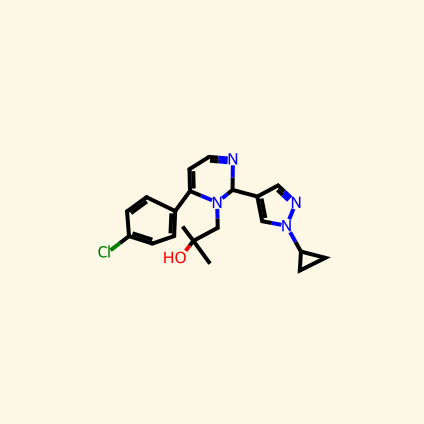 CC(C)(O)CN1C(c2ccc(Cl)cc2)=CC=NC1c1cnn(C2CC2)c1